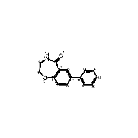 O=C1NCCOc2ccc(-c3ccccc3)cc21